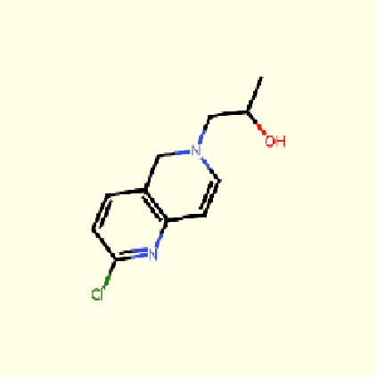 CC(O)CN1C=Cc2nc(Cl)ccc2C1